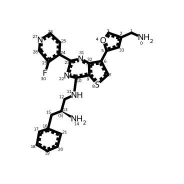 NCc1coc(-c2csc3c(NC[C@@H](N)Cc4ccccc4)nc(-c4ccncc4F)nc23)c1